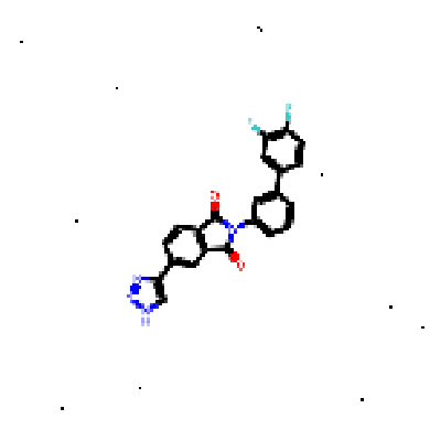 O=C1c2ccc(-c3c[nH]nn3)cc2C(=O)N1c1cccc(-c2ccc(F)c(F)c2)c1